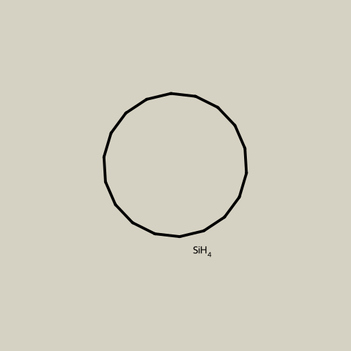 C1CCCCCCCCCCCCCCCCC1.[SiH4]